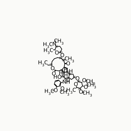 CC[C@H]1CCC[C@H](O[C@H]2CC[C@H](N(C)C)C(C)O2)[C@@H](C)C(=O)C2=C[C@H]3[C@@H]4C[C@H](O[C@@H]5OC(C)[C@H](OC)C(OC)C5OC)C[C@H]4[C@H](Nc4cccc(OC)c4OC)[C@@H](O)[C@H]3[C@@H]2CC(=O)O1